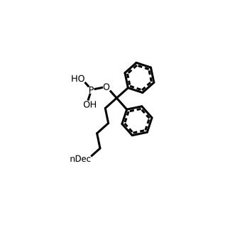 CCCCCCCCCCCCCCC(OP(O)O)(c1ccccc1)c1ccccc1